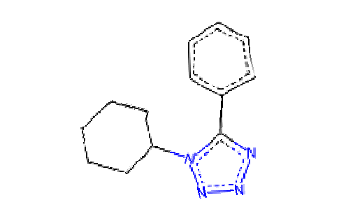 c1ccc(-c2nnnn2C2CCCCC2)cc1